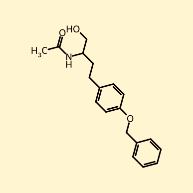 CC(=O)NC(CO)CCc1ccc(OCc2ccccc2)cc1